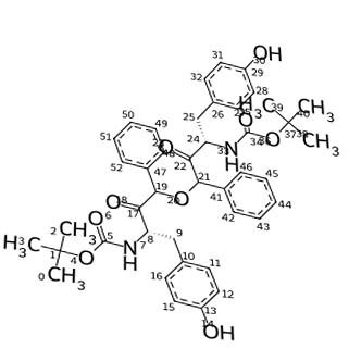 CC(C)(C)OC(=O)N[C@@H](Cc1ccc(O)cc1)C(=O)C(OC(C(=O)[C@H](Cc1ccc(O)cc1)NC(=O)OC(C)(C)C)c1ccccc1)c1ccccc1